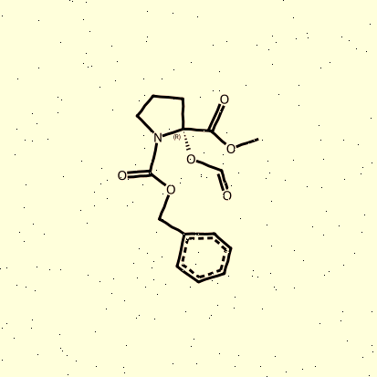 COC(=O)[C@]1(OC=O)CCCN1C(=O)OCc1ccccc1